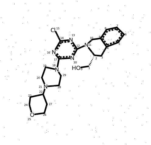 OC[C@H]1Cc2ccccc2CN1c1nc(Cl)nc(N2CCN(C3CCOCC3)CC2)n1